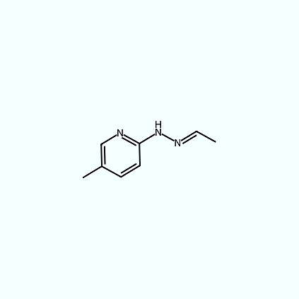 C/C=N/Nc1ccc(C)cn1